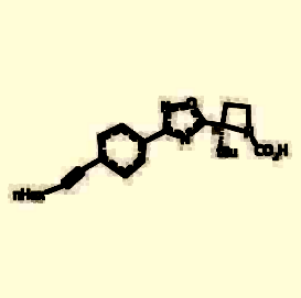 CCCCCCC#Cc1ccc(-c2noc([C@@]3(C(C)(C)C)CCN3C(=O)O)n2)cc1